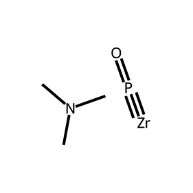 CN(C)C.O=[P]#[Zr]